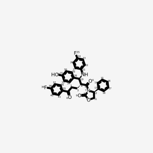 O=C(CC[C@@H](C(=O)N1C(=O)OC[C@@H]1c1ccccc1)[C@H](Nc1ccc(F)cc1)c1ccc(O)cc1)c1ccc(F)cc1